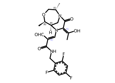 C/C(O)=C1/C(=O)N2C[C@H]([C@@H](C)OC[C@@H]2C)N1/C=C(\C=O)C(=O)NCc1c(F)cc(F)cc1F